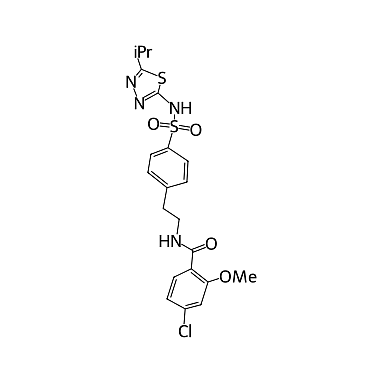 COc1cc(Cl)ccc1C(=O)NCCc1ccc(S(=O)(=O)Nc2nnc(C(C)C)s2)cc1